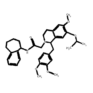 COc1ccc(CC2c3cc(OC(C)C)c(OC)cc3CCN2CC(=O)NC2CCCCc3ccccc32)cc1OC